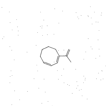 C=C(C)C1=CC=CCCCC1